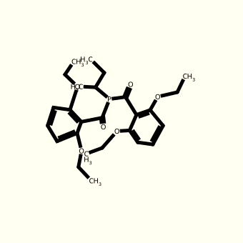 CCOc1cccc(OCC)c1C(=O)P(C(=O)c1c(OCC)cccc1OCC)C(C)CC